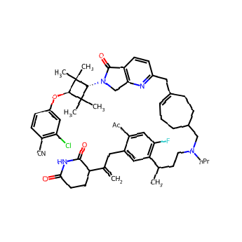 C=C(Cc1cc(C(C)CCN(CCC)CC2CCC=C(Cc3ccc4c(n3)CN([C@H]3C(C)(C)[C@H](Oc5ccc(C#N)c(Cl)c5)C3(C)C)C4=O)CC2)c(F)cc1C(C)=O)C1CCC(=O)NC1=O